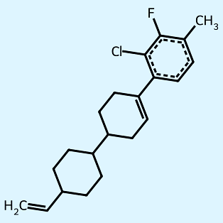 C=CC1CCC(C2CC=C(c3ccc(C)c(F)c3Cl)CC2)CC1